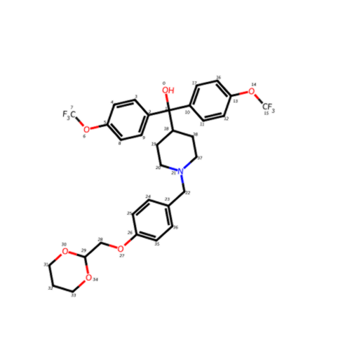 OC(c1ccc(OC(F)(F)F)cc1)(c1ccc(OC(F)(F)F)cc1)C1CCN(Cc2ccc(OCC3OCCCO3)cc2)CC1